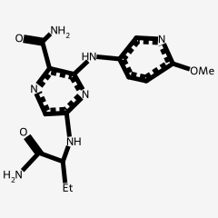 CCC(Nc1cnc(C(N)=O)c(Nc2ccc(OC)nc2)n1)C(N)=O